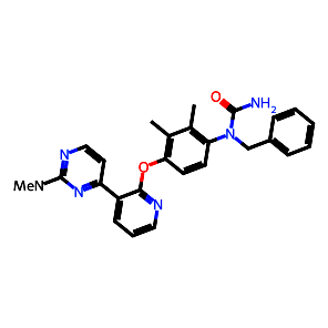 CNc1nccc(-c2cccnc2Oc2ccc(N(Cc3ccccc3)C(N)=O)c(C)c2C)n1